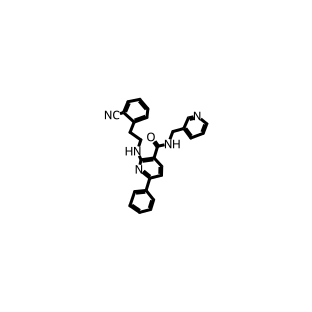 N#Cc1ccccc1CCNc1nc(-c2ccccc2)ccc1C(=O)NCc1cccnc1